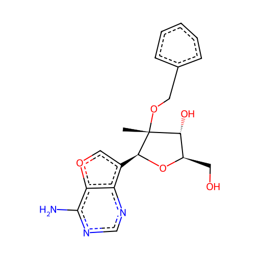 C[C@@]1(OCc2ccccc2)[C@H](O)[C@@H](CO)O[C@H]1c1coc2c(N)ncnc12